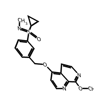 CN=S(=O)(c1cccc(COc2ccnc3c(OC)nccc23)c1)C1CC1